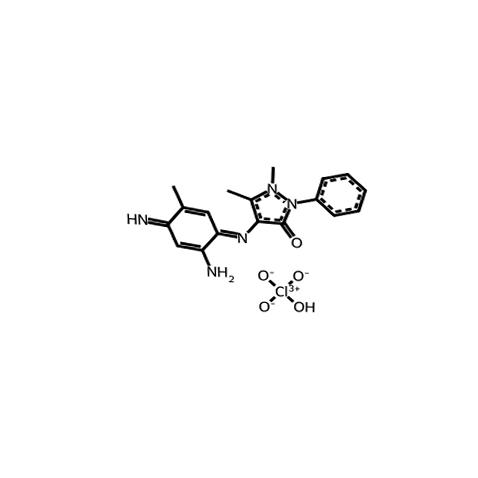 CC1=CC(=Nc2c(C)n(C)n(-c3ccccc3)c2=O)C(N)=CC1=N.[O-][Cl+3]([O-])([O-])O